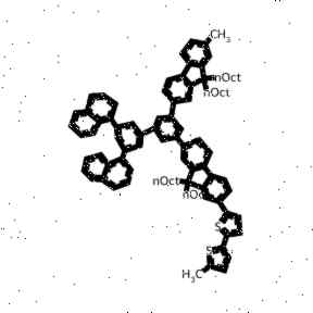 CCCCCCCCC1(CCCCCCCC)c2cc(C)ccc2-c2ccc(-c3cc(-c4cc(-c5cccc6ccccc56)cc(-c5cccc6ccccc56)c4)cc(-c4ccc5c(c4)C(CCCCCCCC)(CCCCCCCC)c4cc(-c6ccc(-c7ccc(C)s7)s6)ccc4-5)c3)cc21